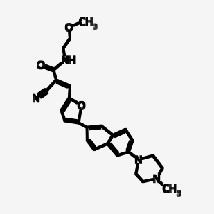 COCCNC(=O)/C(C#N)=C/c1ccc(-c2ccc3cc(N4CCN(C)CC4)ccc3c2)o1